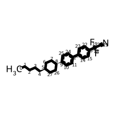 CCCCC[C@H]1CC[C@H](c2ccc(-c3ccc(C(F)(F)C#N)cc3)cc2)CC1